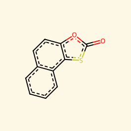 O=c1oc2ccc3ccccc3c2s1